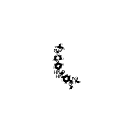 CCOC(OCC)(P=O)c1ccc(NC(=O)Nc2ccc(N3CCN(C(=O)OC(C)(C)C)CC3)cc2)cc1